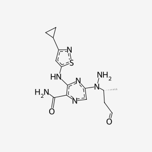 C[C@H](CC=O)N(N)c1cnc(C(N)=O)c(Nc2cc(C3CC3)ns2)n1